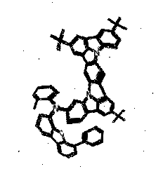 Cc1ccccc1N(c1ccc2c3cc(C(C)(C)C)cc4c5cc6c(cc5n(c2c1)c34)c1cc(C(C)(C)C)cc2c3cc(C(C)(C)C)ccc3n6c21)c1cccc2c1oc1c(-c3ccccc3)cccc12